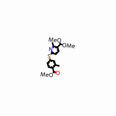 COC(=O)c1ccc(Sc2ccc(C(OC)OC)c(C)n2)cc1C